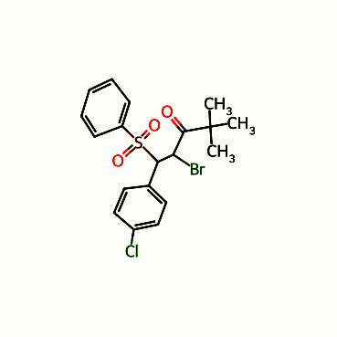 CC(C)(C)C(=O)C(Br)C(c1ccc(Cl)cc1)S(=O)(=O)c1ccccc1